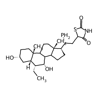 CC[C@H]1[C@@H](O)C2C3CC[C@H]([C@H](P)CC4SC(=O)NC4=O)[C@@]3(C)CCC2[C@@]2(C)CC[C@@H](O)C[C@@H]12